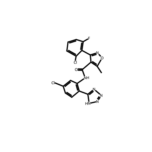 Cc1onc(-c2c(F)cccc2Cl)c1C(=O)Nc1cc(Cl)ccc1-c1nnn[nH]1